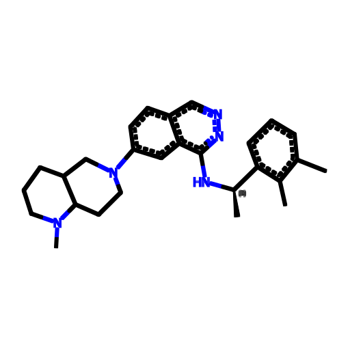 Cc1cccc([C@@H](C)Nc2nncc3ccc(N4CCC5C(CCCN5C)C4)cc23)c1C